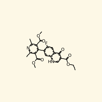 CCOC(=O)c1c[nH]c2cc(-c3c(C(=O)OC)c(C)nc(C)c3C(=O)OC)c(F)cc2c1=O